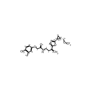 C=C(CCNC(=O)COc1ccc(Cl)c(F)c1)c1nnc([C@H]2C[C@@H]2COC(F)(F)F)o1